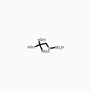 CCCCCCCCC(CCCCCCCC)(CCCCCCCC)COS(=O)(=O)O